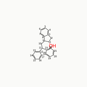 OC1Cc2ccccc2C1CC1c2ccccc2-c2ccccc21